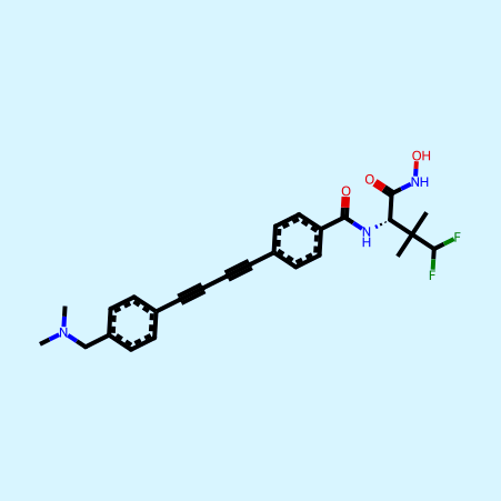 CN(C)Cc1ccc(C#CC#Cc2ccc(C(=O)N[C@H](C(=O)NO)C(C)(C)C(F)F)cc2)cc1